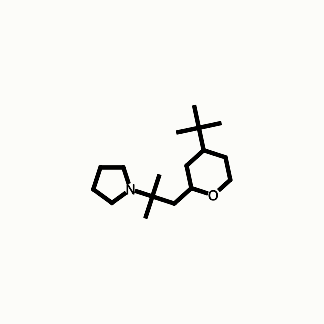 CC(C)(C)C1CCOC(CC(C)(C)N2CCCC2)C1